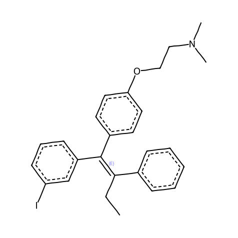 CC/C(=C(/c1ccc(OCCN(C)C)cc1)c1cccc(I)c1)c1ccccc1